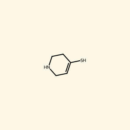 SC1=CCNCC1